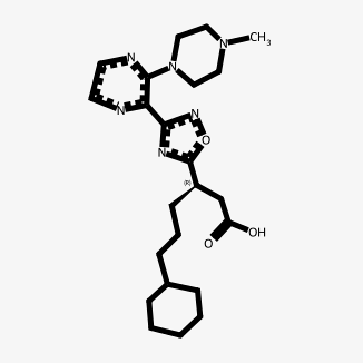 CN1CCN(c2nccnc2-c2noc([C@H](CCCC3CCCCC3)CC(=O)O)n2)CC1